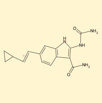 NC(=O)Nc1[nH]c2cc(/C=C/C3CC3)ccc2c1C(N)=O